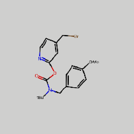 COc1ccc(CN(C(=O)Oc2cc(CBr)ccn2)C(C)(C)C)cc1